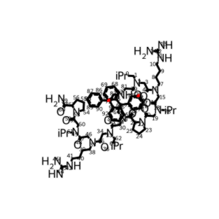 CC(C)CN(CC(=O)N(CCCCNC(=N)N)CC(=O)N(CC(=O)N1CCCC1C(=O)N(CC(=O)N(CC(=O)N(CCCCNC(=N)N)CC(=O)N(CC(=O)N1CCCC1C(N)=O)C(C)C)CC(C)C)CC(c1ccccc1)c1ccccc1)C(C)C)C(=O)CNCC(c1ccccc1)c1ccccc1